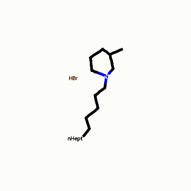 Br.CCCCCCCCCCCCN1CCCC(C)C1